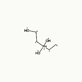 CC[PH](O)(O)CCO